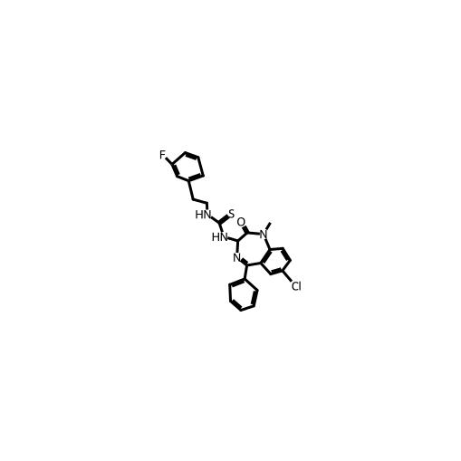 CN1C(=O)C(NC(=S)NCCc2cccc(F)c2)N=C(c2ccccc2)c2cc(Cl)ccc21